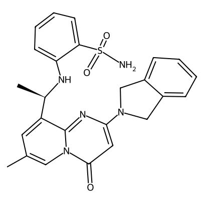 Cc1cc([C@@H](C)Nc2ccccc2S(N)(=O)=O)c2nc(N3Cc4ccccc4C3)cc(=O)n2c1